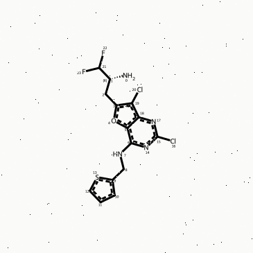 N[C@H](Cc1oc2c(NCc3cccs3)nc(Cl)nc2c1Cl)C(F)F